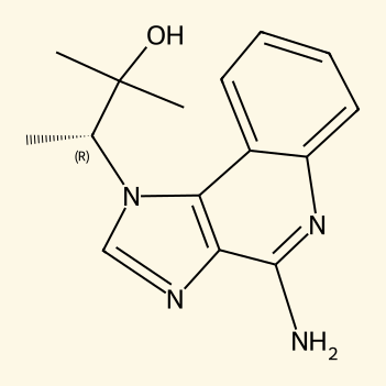 C[C@@H](n1cnc2c(N)nc3ccccc3c21)C(C)(C)O